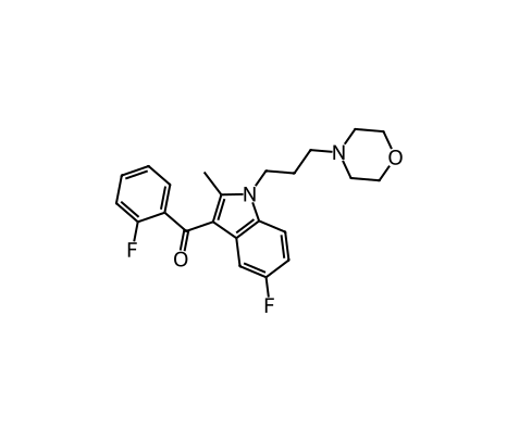 Cc1c(C(=O)c2ccccc2F)c2cc(F)ccc2n1CCCN1CCOCC1